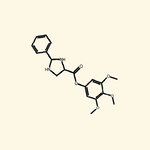 COc1cc(OC(=O)C2CNC(c3ccccc3)N2)cc(OC)c1OC